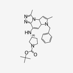 CC1=CC2C(C=C(N[C@@H]3CCN(C(=O)OC(C)(C)C)C3)c3nnc(C)n32)N1Cc1ccccc1